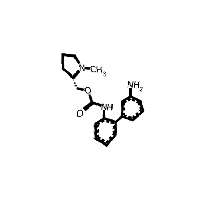 CN1CCC[C@H]1COC(=O)Nc1ccccc1-c1cccc(N)c1